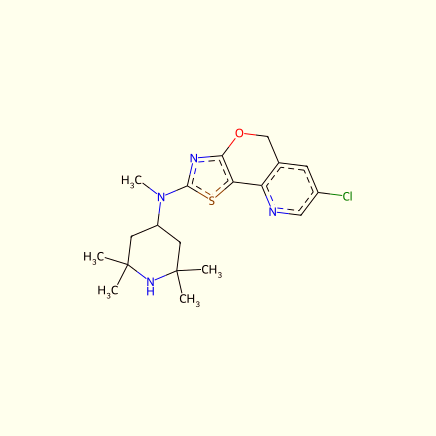 CN(c1nc2c(s1)-c1ncc(Cl)cc1CO2)C1CC(C)(C)NC(C)(C)C1